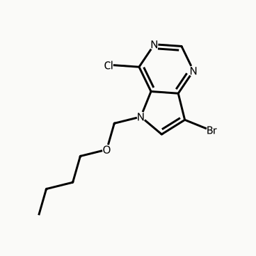 CCCCOCn1cc(Br)c2ncnc(Cl)c21